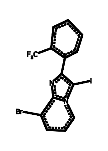 FC(F)(F)c1ccccc1-c1nc2c(Br)cccn2c1I